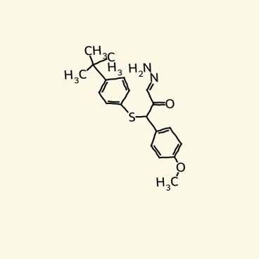 COc1ccc(C(Sc2ccc(C(C)(C)C)cc2)C(=O)C=NN)cc1